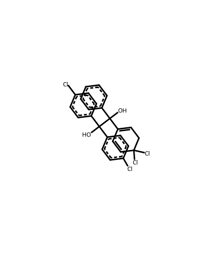 OC(C1=CCC(Cl)(Cl)C=C1)(c1ccccc1)C(O)(c1ccc(Cl)cc1)c1ccc(Cl)cc1